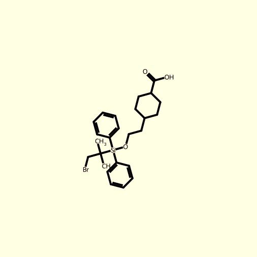 CC(C)(CBr)[Si](OCCC1CCC(C(=O)O)CC1)(c1ccccc1)c1ccccc1